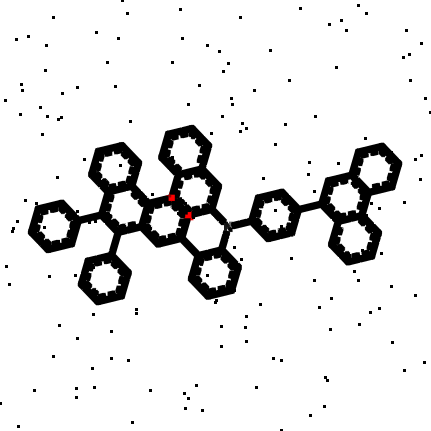 c1ccc(-c2c(-c3ccccc3)c3cc(-c4ccccc4N(c4ccc(-c5cc6ccccc6c6ccccc56)cc4)c4ccc5ccccc5c4)ccc3c3ccccc23)cc1